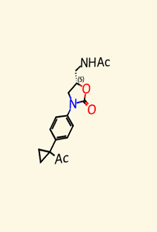 CC(=O)NC[C@H]1CN(c2ccc(C3(C(C)=O)CC3)cc2)C(=O)O1